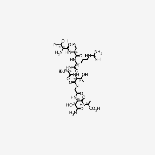 CC[C@H](C)[C@H](NC(=O)[C@@H](CCCNC(=N)N)NC(=O)[C@H](CC(C)C)NC(=O)[C@@H](N)[C@H](O)C(C)C)C(=O)N[C@H](C(=O)NCC(=O)N[C@H](C(=O)N[C@@H](C)C(=O)O)[C@H](O)C(N)=O)[C@H](C)O